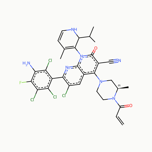 C=CC(=O)N1CCN(c2c(C#N)c(=O)n(C3=C(C)C=CNC3C(C)C)c3nc(-c4c(Cl)c(N)c(F)c(Cl)c4Cl)c(Cl)cc23)C[C@H]1C